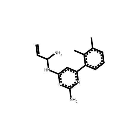 C=CC(N)Nc1cc(-c2cccc(C)c2C)nc(N)n1